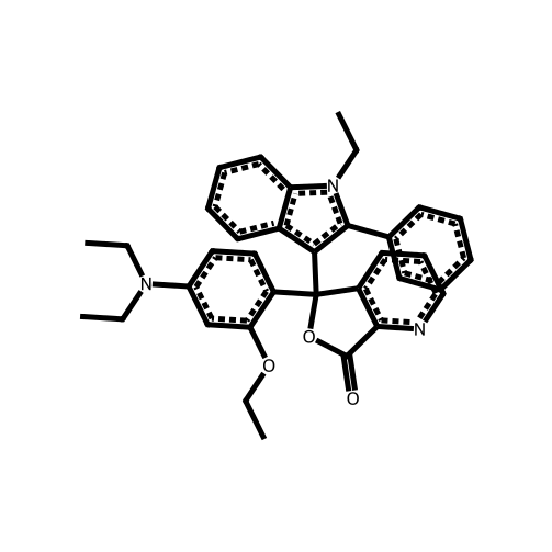 CCOc1cc(N(CC)CC)ccc1C1(c2c(-c3ccccc3)n(CC)c3ccccc23)OC(=O)c2ncccc21